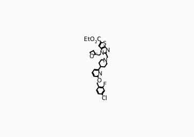 CCOC(=O)c1cc2c(nc(CN3CCC(c4cccc(OCc5ccc(Cl)cc5F)n4)CC3)n2C[C@@H]2CCO2)s1